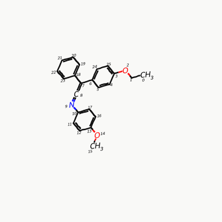 CCOc1ccc(C(=C=Nc2ccc(OC)cc2)c2ccccc2)cc1